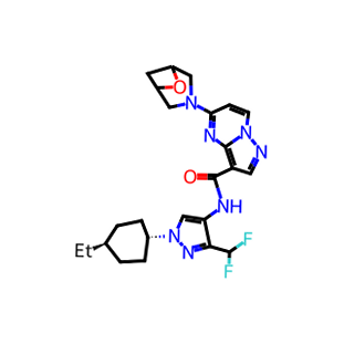 CC[C@H]1CC[C@H](n2cc(NC(=O)c3cnn4ccc(N5CC6CC(C5)O6)nc34)c(C(F)F)n2)CC1